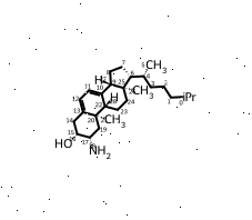 CC(C)CCC[C@@H](C)[C@H]1CC[C@H]2C3=CC=C4C[C@@H](O)[C@@H](N)C[C@]4(C)[C@H]3CC[C@]12C